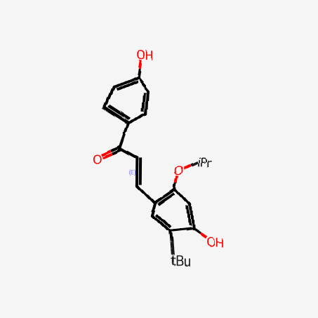 CC(C)Oc1cc(O)c(C(C)(C)C)cc1/C=C/C(=O)c1ccc(O)cc1